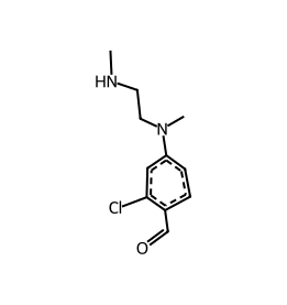 CNCCN(C)c1ccc(C=O)c(Cl)c1